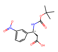 CC(C)(C)OC(=O)N[C@@H](CC(=O)O)c1cccc([N+](=O)[O-])c1